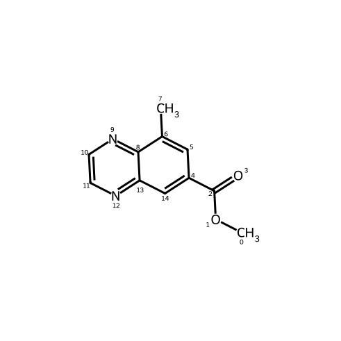 COC(=O)c1cc(C)c2nccnc2c1